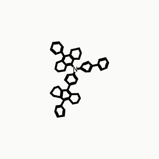 c1ccc(-c2ccc(N(c3ccc(-c4c5c(c(-c6ccccc6)c6c4CCCC6)CCCC5)cc3)c3c4c(c(-c5ccccc5)c5c3CCCC5)CCCC4)cc2)cc1